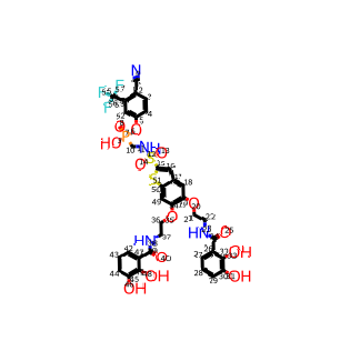 N#Cc1ccc(OP(=O)(O)CNS(=O)(=O)c2cc3cc(OCCNC(=O)c4cccc(O)c4O)c(OCCNC(=O)c4cccc(O)c4O)cc3s2)cc1C(F)(F)F